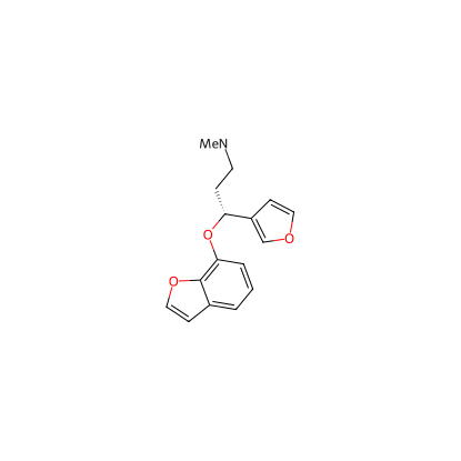 CNCC[C@@H](Oc1cccc2ccoc12)c1ccoc1